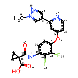 Cn1cc(-c2cc(Oc3ccc(NC(=O)C4(C(=O)O)CC4)c(F)c3F)ccn2)cn1